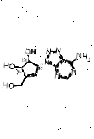 Nc1ncnc2c1nnn2[C@@H]1C=C(CO)[C@@H](O)[C@H]1O